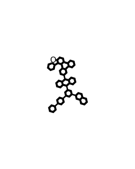 c1ccc(-c2ccc(-c3cc(-c4ccc5ccccc5c4)cc(-c4c5ccccc5c(-c5ccc6c(c5)c5ccccc5c5ccc7oc8ccccc8c7c56)c5ccccc45)c3)cc2)cc1